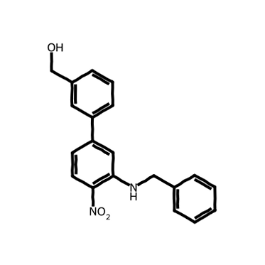 O=[N+]([O-])c1ccc(-c2cccc(CO)c2)cc1NCc1ccccc1